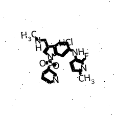 CNCc1cn(S(=O)(=O)c2cccnc2)c2cc(Nc3ccc(C)nc3F)ccc12.Cl